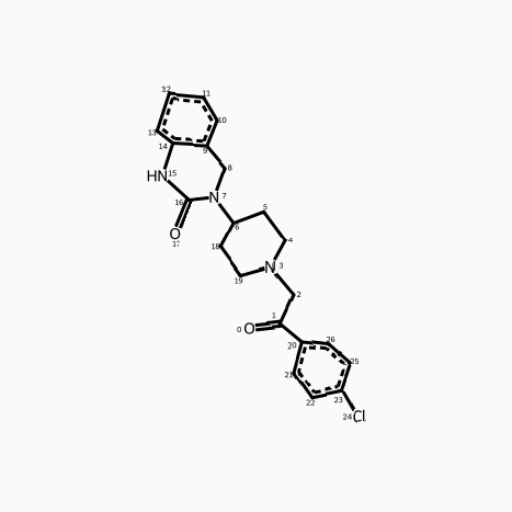 O=C(CN1CCC(N2Cc3ccccc3NC2=O)CC1)c1ccc(Cl)cc1